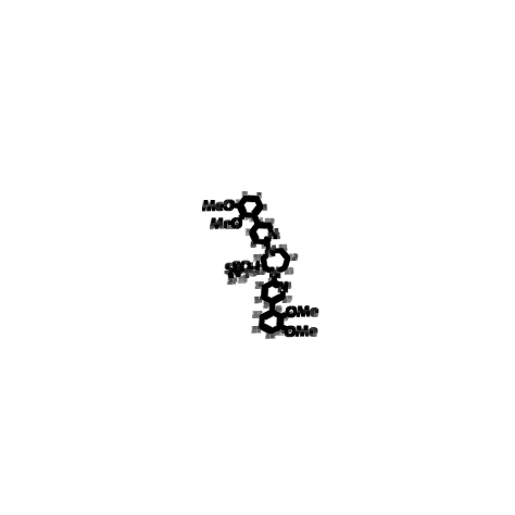 COc1cccc(-c2ccc(N3CCCN(c4ccc(-c5cccc(OC)c5OC)cn4)CC3)nc2)c1OC.CS(=O)(=O)O.CS(=O)(=O)O